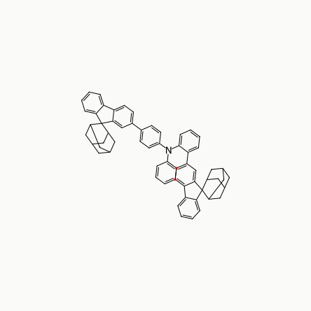 c1ccc(N(c2ccc(-c3ccc4c(c3)C3(c5ccccc5-4)C4CC5CC(C4)CC3C5)cc2)c2ccccc2-c2ccc3c(c2)C2(c4ccccc4-3)C3CC4CC(C3)CC2C4)cc1